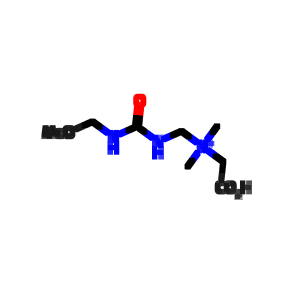 COCNC(=O)NC[N+](C)(C)CC(=O)O